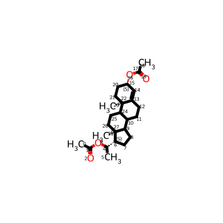 CC(=O)OC(C)[C@H]1CCC2C3CCC4=C[C@@H](OC(C)=O)CC[C@]4(C)C3CC[C@@]21C